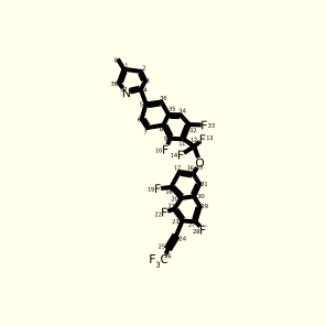 Cc1ccc(-c2ccc3c(F)c(C(F)(F)Oc4cc(F)c5c(F)c(C#CC(F)(F)F)c(F)cc5c4)c(F)cc3c2)nc1